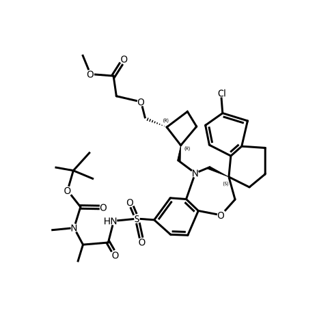 COC(=O)COC[C@@H]1CC[C@H]1CN1C[C@@]2(CCCc3cc(Cl)ccc32)COc2ccc(S(=O)(=O)NC(=O)C(C)N(C)C(=O)OC(C)(C)C)cc21